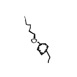 CCc1ccc(OCCCCI)cc1